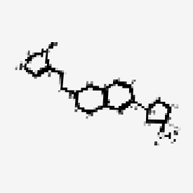 Cn1cncc1CCC1CCc2cc([C@H]3CC[C@@](C)(N)C3)ccc2C1